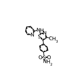 Cc1nc(Nc2ccccn2)sc1-c1ccc(S(N)(=O)=O)cc1